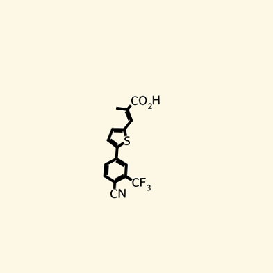 C/C(=C\c1ccc(-c2ccc(C#N)c(C(F)(F)F)c2)s1)C(=O)O